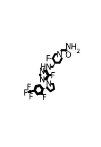 NC(=O)CN1CC[C@@H](CNc2ncnc(N3CCC[C@@H]3c3ccc(C(F)(F)F)cc3F)c2F)[C@H](F)C1